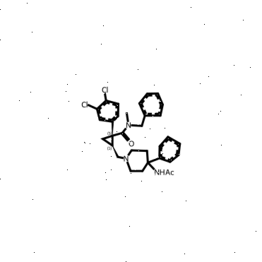 CC(=O)NC1(c2ccccc2)CCN(C[C@H]2C[C@@]2(C(=O)N(C)Cc2ccccc2)c2ccc(Cl)c(Cl)c2)CC1